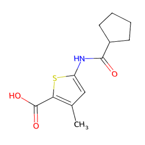 Cc1cc(NC(=O)C2CCCC2)sc1C(=O)O